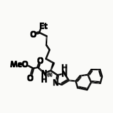 CCC(=O)CCCCC[C@H](NC(=O)C(=O)OC)c1ncc(-c2ccc3ccccc3c2)[nH]1